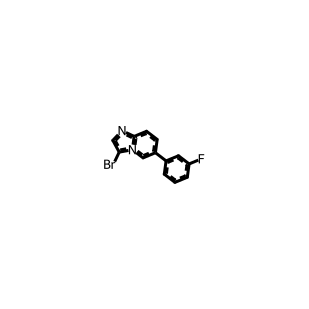 Fc1cccc(-c2ccc3ncc(Br)n3c2)c1